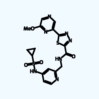 COc1cncc(-c2nnc(C(=O)NCc3cc(NS(=O)(=O)C4CC4)ccn3)s2)n1